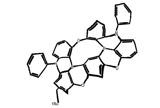 CC(C)(C)c1cc2c3c(c1)N(c1ccccc1)c1cccc4c1B3c1cc3c(cc1O2)Oc1cccc2c1B3c1c(cccc1N2c1ccccc1)O4